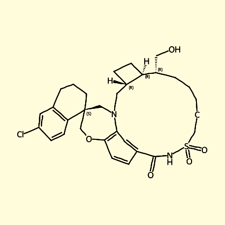 O=C1NS(=O)(=O)CCCCC[C@@H](CO)[C@@H]2CC[C@H]2CN2C[C@@]3(CCCc4cc(Cl)ccc43)COc3ccc1cc32